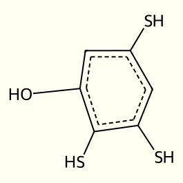 Oc1cc(S)cc(S)c1S